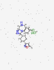 Cc1cc([C@H]2CC[C@H](c3nnc4n3-c3ccc(Cl)cc3CNC4)CC2)no1.Cl